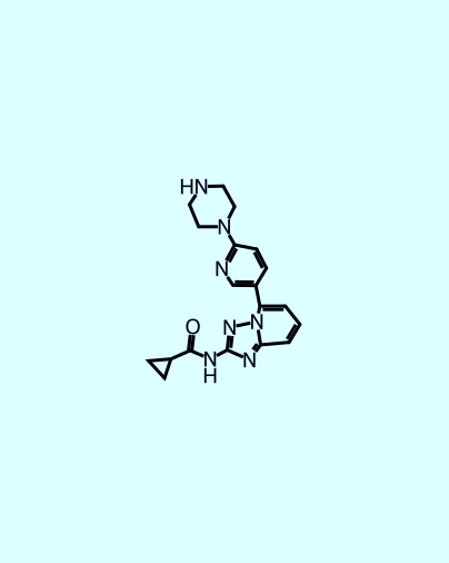 O=C(Nc1nc2cccc(-c3ccc(N4CCNCC4)nc3)n2n1)C1CC1